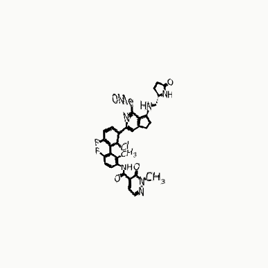 COc1nc(C2C=CC(F)=C(c3c(F)ccc(NC(=O)c4ccnn(C)c4=O)c3C)C2Cl)cc2c1[C@@H](NC[C@@H]1CCC(=O)N1)CC2